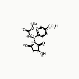 CC(C)(C)OC(=O)NN(c1ccc(C(=O)O)cn1)N1C(=O)CC(O)C1=O